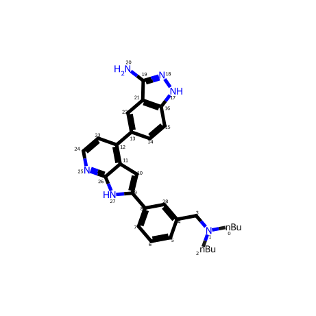 CCCCN(CCCC)Cc1cccc(-c2cc3c(-c4ccc5[nH]nc(N)c5c4)ccnc3[nH]2)c1